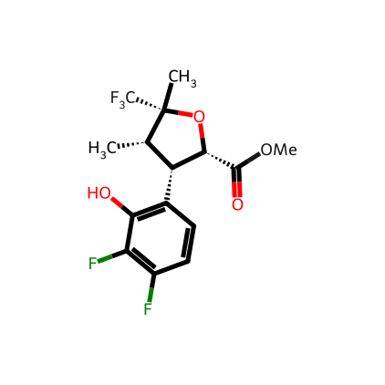 COC(=O)[C@H]1O[C@@](C)(C(F)(F)F)[C@@H](C)[C@H]1c1ccc(F)c(F)c1O